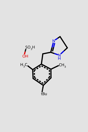 Cc1cc(C(C)(C)C)cc(C)c1CC1=NCCN1.O=S(=O)(O)O